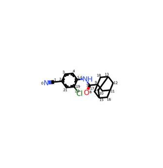 N#Cc1ccc(NC(=O)C23CC4CC(CC(C4)C2)C3)c(Cl)c1